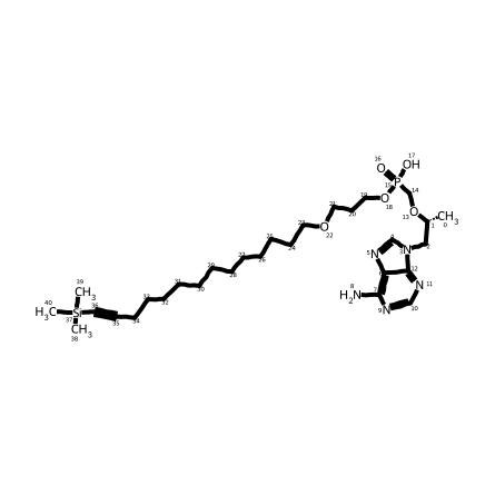 C[C@H](Cn1cnc2c(N)ncnc21)OCP(=O)(O)OCCCOCCCCCCCCCCCCC#C[Si](C)(C)C